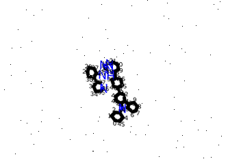 c1ccc(-n2c3ccccc3c3cc(-c4ccc(-c5cccn6nc(Nc7ccccc7-c7cccnc7)n56)cc4)ccc32)cc1